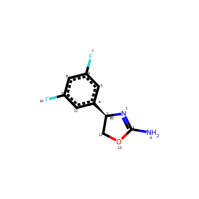 NC1=N[C@H](c2cc(F)cc(F)c2)CO1